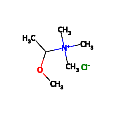 COC(C)[N+](C)(C)C.[Cl-]